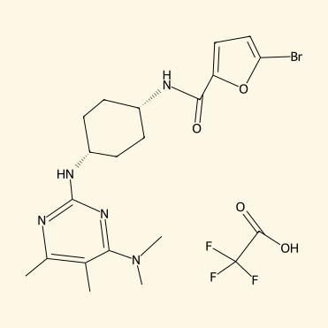 Cc1nc(N[C@H]2CC[C@@H](NC(=O)c3ccc(Br)o3)CC2)nc(N(C)C)c1C.O=C(O)C(F)(F)F